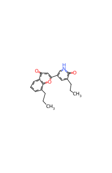 CCCc1cc(-c2cc(=O)c3cccc(CCC)c3o2)c[nH]c1=O